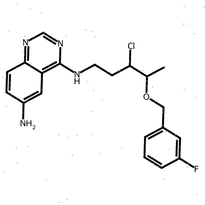 CC(OCc1cccc(F)c1)C(Cl)CCNc1ncnc2ccc(N)cc12